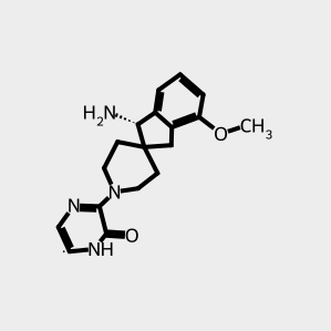 COc1cccc2c1CC1(CCN(c3nc[c][nH]c3=O)CC1)[C@@H]2N